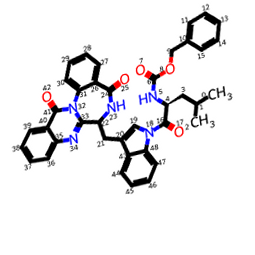 CC(C)C[C@H](NC(=O)OCc1ccccc1)C(=O)n1cc(CC2NC(=O)c3ccccc3-n3c2nc2ccccc2c3=O)c2ccccc21